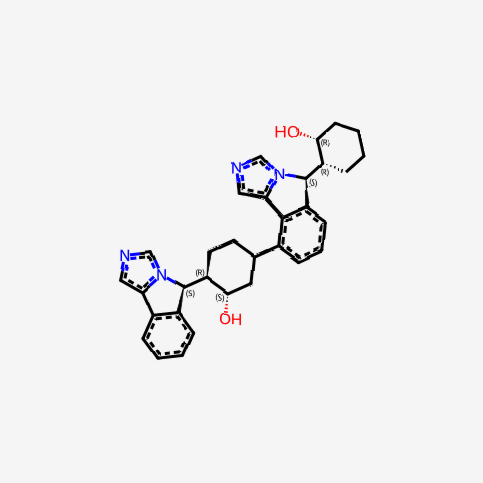 O[C@@H]1CCCC[C@@H]1[C@H]1c2cccc(C3CC[C@H]([C@H]4c5ccccc5-c5cncn54)[C@@H](O)C3)c2-c2cncn21